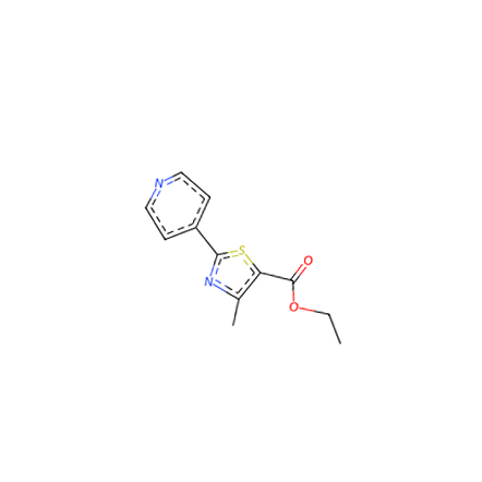 CCOC(=O)c1sc(-c2ccncc2)nc1C